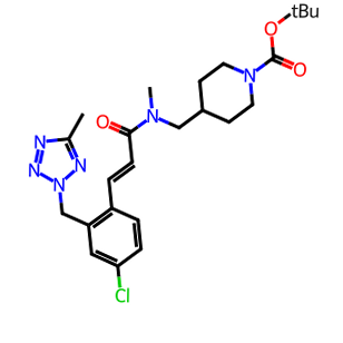 Cc1nnn(Cc2cc(Cl)ccc2C=CC(=O)N(C)CC2CCN(C(=O)OC(C)(C)C)CC2)n1